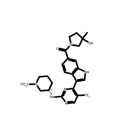 CC1(O)CCN(C(=O)c2ccc3c(-c4nc(N[C@H]5CCCN(C(=O)O)C5)ncc4C(F)(F)F)c[nH]c3c2)C1